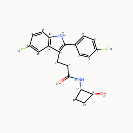 O=C(CCc1c(-c2ccc(F)cc2)[nH]c2ccc(F)cc12)N[C@H]1CC[C@@H]1O